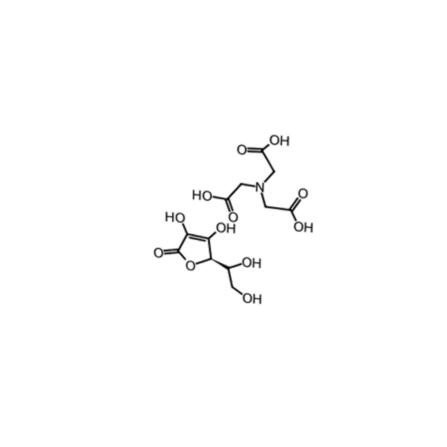 O=C(O)CN(CC(=O)O)CC(=O)O.O=C1O[C@H](C(O)CO)C(O)=C1O